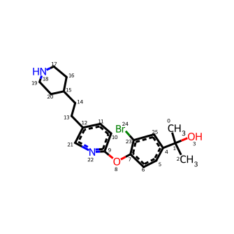 CC(C)(O)c1ccc(Oc2ccc(CCC3CCNCC3)cn2)c(Br)c1